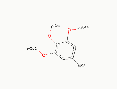 [CH2]CCCc1cc(OCCCCCCCC)c(OCCCCCCCC)c(OCCCCCCCC)c1